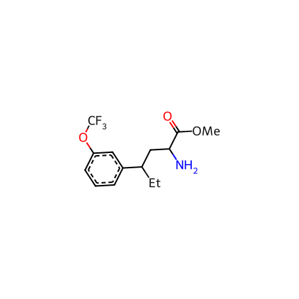 CCC(CC(N)C(=O)OC)c1cccc(OC(F)(F)F)c1